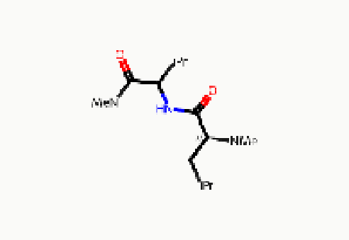 CNC(=O)C(NC(=O)[C@H](CC(C)C)NC)C(C)C